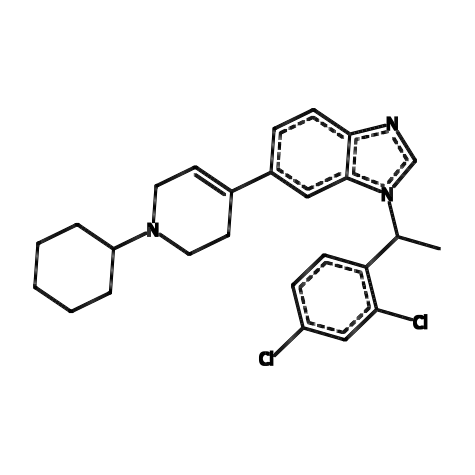 CC(c1ccc(Cl)cc1Cl)n1cnc2ccc(C3=CCN(C4CCCCC4)CC3)cc21